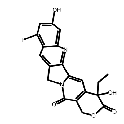 CCC1(O)C(=O)OCc2c1cc1n(c2=O)Cc2cc3c(I)cc(O)cc3nc2-1